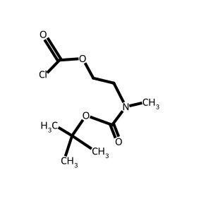 CN(CCOC(=O)Cl)C(=O)OC(C)(C)C